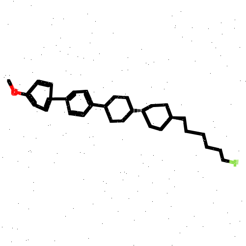 COc1ccc(-c2ccc(C3CCC([C@H]4CC[C@H](CCCCCCF)CC4)CC3)cc2)cc1